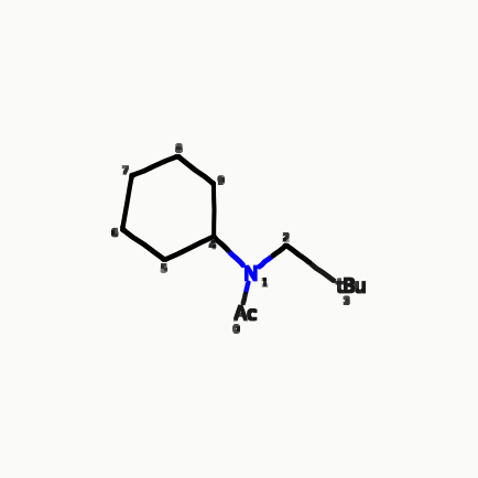 CC(=O)N(CC(C)(C)C)C1CCCCC1